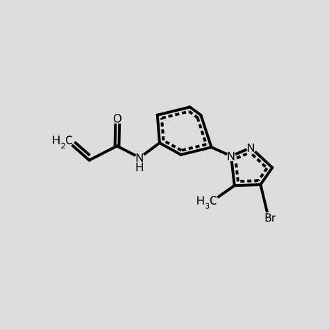 C=CC(=O)Nc1cccc(-n2ncc(Br)c2C)c1